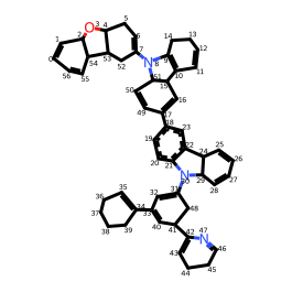 C1=CC2OC3CC=C(N4C5=C(C=CCC5)C5C=C(c6ccc7c(c6)C6C=CC=CC6N7C6=CC(C7=CCCCC7)=CC(C7=CCCC=N7)C6)C=CC54)CC3C2C=C1